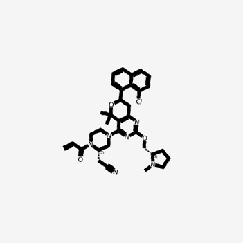 C=CC(=O)N1CCN(c2nc(OC[C@@H]3CCCN3C)nc3c2C(C)(C)OC(c2cccc4cccc(Cl)c24)C3)C[C@@H]1CC#N